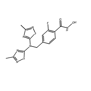 Cc1nsc(N(Cc2ccc(C(=O)NO)c(F)c2)c2nc(C)ns2)n1